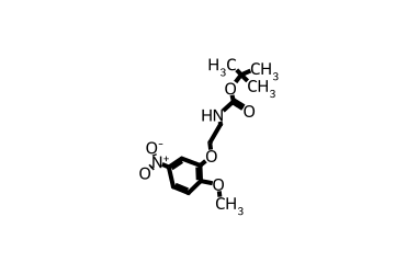 COc1ccc([N+](=O)[O-])cc1OCCNC(=O)OC(C)(C)C